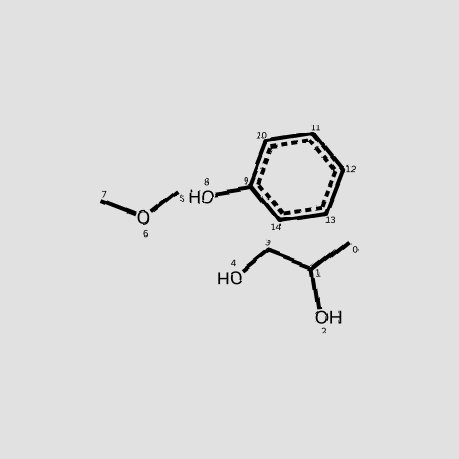 CC(O)CO.COC.Oc1ccccc1